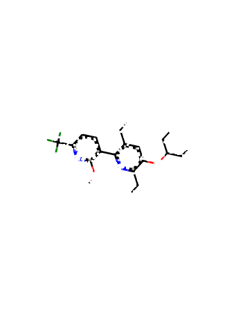 CCc1cc(OC(CC)CC)c(CC)nc1-c1ccc(C(F)(F)F)nc1OC